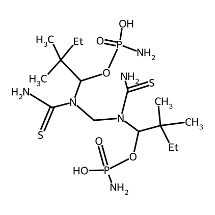 CCC(C)(C)C(OP(N)(=O)O)N(CN(C(N)=S)C(OP(N)(=O)O)C(C)(C)CC)C(N)=S